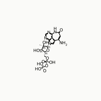 C[C@@]1(O)[C@H](O)[C@@H](COP(=O)(O)OP(=O)(O)O)O[C@H]1n1cc2c3c(ncnc31)NC(=O)C=C2N